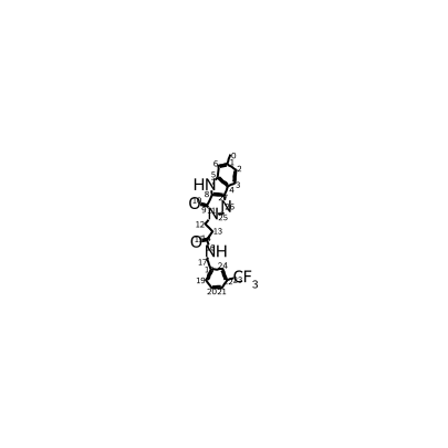 Cc1ccc2c(c1)[nH]c1c(=O)n(CCC(=O)NCc3cccc(C(F)(F)F)c3)cnc12